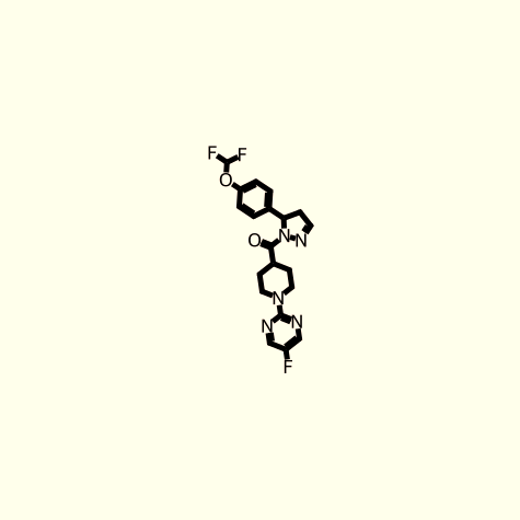 O=C(C1CCN(c2ncc(F)cn2)CC1)N1N=CCC1c1ccc(OC(F)F)cc1